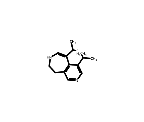 CC(C)C1=CNCCc2cncc(C(C)C)c21